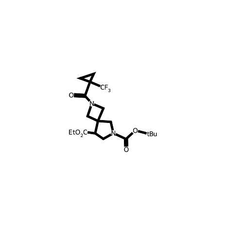 CCOC(=O)C1CN(C(=O)OC(C)(C)C)CC12CN(C(=O)C1(C(F)(F)F)CC1)C2